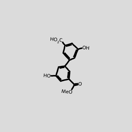 COC(=O)c1cc(O)cc(-c2cc(O)cc(C(=O)O)c2)c1